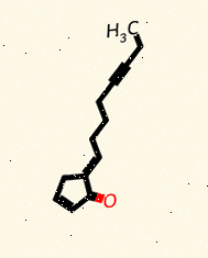 CCC#CCCC/C=C1\CC=CC1=O